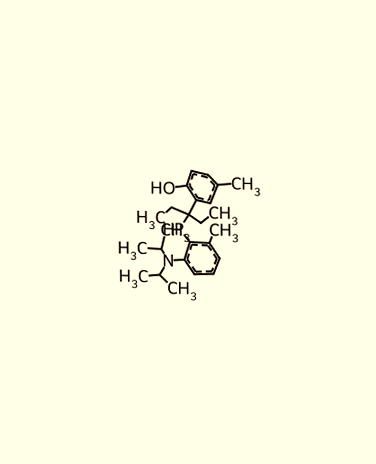 CCC(CC)(Pc1c(C)cccc1N(C(C)C)C(C)C)c1cc(C)ccc1O